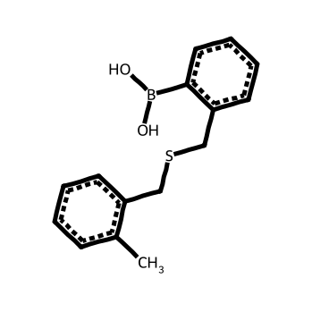 Cc1ccccc1CSCc1ccccc1B(O)O